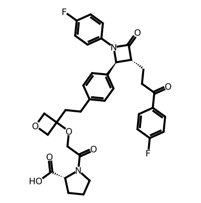 O=C(CC[C@H]1C(=O)N(c2ccc(F)cc2)[C@@H]1c1ccc(CCC2(OCC(=O)N3CCC[C@@H]3C(=O)O)COC2)cc1)c1ccc(F)cc1